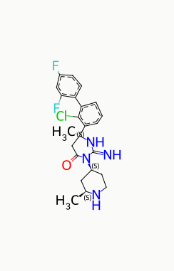 C[C@H]1C[C@@H](N2C(=N)N[C@](C)(c3cccc(-c4ccc(F)cc4F)c3Cl)CC2=O)CCN1